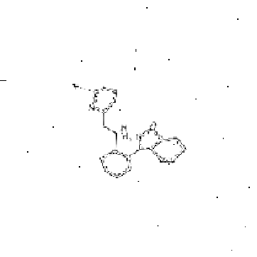 N[C@@H](Cc1cccc(F)n1)c1ccccc1-c1noc2ccccc12